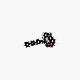 c1ccc(-c2ccc(-c3ccc(-c4nc(-c5ccccc5)nc(-c5cccc6oc7cc8ccc9ccccc9c8cc7c56)n4)cc3)cc2)cc1